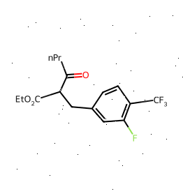 CCCC(=O)C(Cc1ccc(C(F)(F)F)c(F)c1)C(=O)OCC